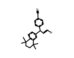 CC1(C)CCC(C)(C)c2cc(C(/C=C/Br)c3ccc(C#N)cc3)ccc21